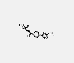 Cc1nc(N2CCN(C(=O)C=CC(C)(F)F)CC2)no1